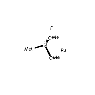 CO[SiH](OC)OC.[F].[Ru]